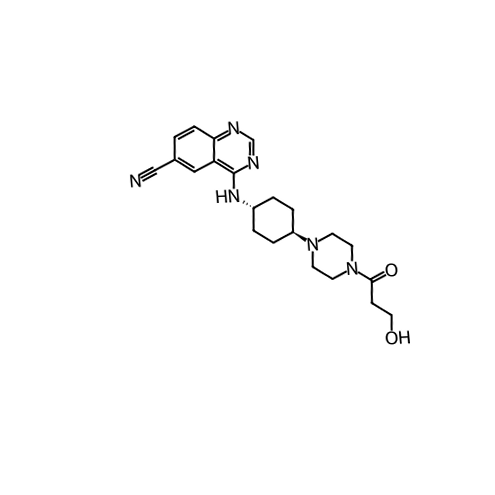 N#Cc1ccc2ncnc(N[C@H]3CC[C@H](N4CCN(C(=O)CCO)CC4)CC3)c2c1